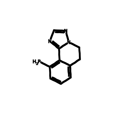 Pc1cccc2c1-c1ncnn1CC2